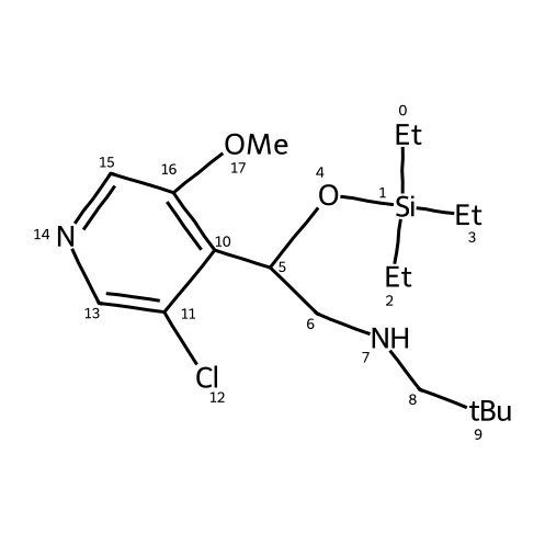 CC[Si](CC)(CC)OC(CNCC(C)(C)C)c1c(Cl)cncc1OC